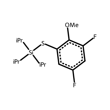 COc1c(F)cc(F)cc1S[Si](C(C)C)(C(C)C)C(C)C